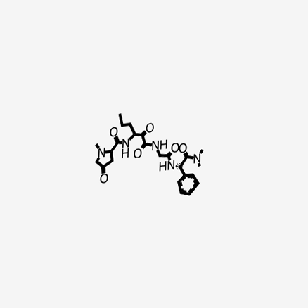 CCCC(NC(=O)C1CC(=O)CN1C)C(=O)C(=O)NCC(=O)N[C@H](C(=O)N(C)C)c1ccccc1